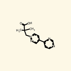 CC(C)(C[n+]1ccc(-c2ccncn2)cn1)C(=O)O